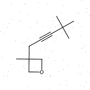 CC(C)(C)C#CCC1(C)COC1